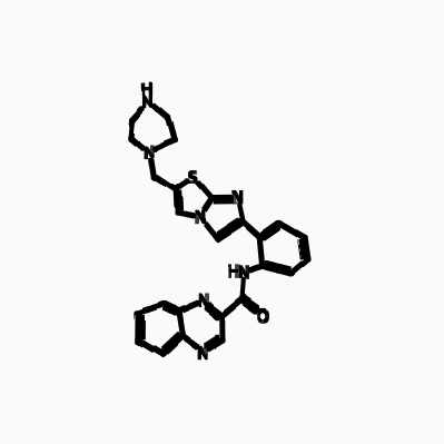 O=C(Nc1ccccc1-c1cn2cc(CN3CCNCC3)sc2n1)c1cnc2ccccc2n1